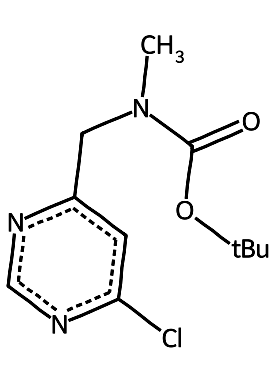 CN(Cc1cc(Cl)ncn1)C(=O)OC(C)(C)C